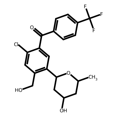 CC1CC(O)CC(c2cc(C(=O)c3ccc(C(F)(F)F)cc3)c(Cl)cc2CO)O1